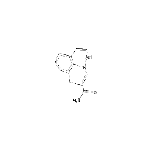 NC(=O)C1=CN2NC=Cc3cccc(c32)C1